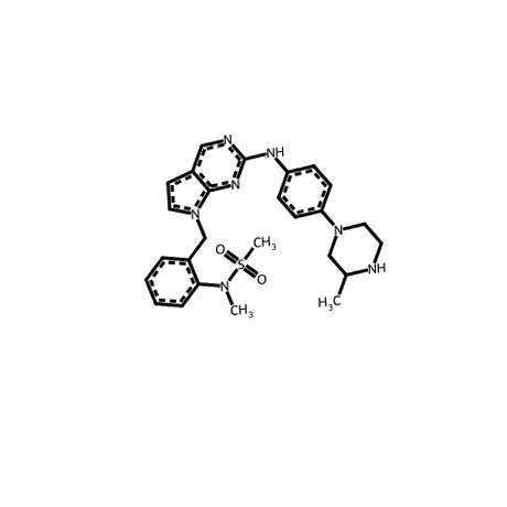 CC1CN(c2ccc(Nc3ncc4ccn(Cc5ccccc5N(C)S(C)(=O)=O)c4n3)cc2)CCN1